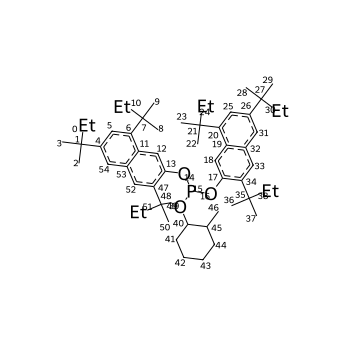 CCC(C)(C)c1cc(C(C)(C)CC)c2cc(OP(Oc3cc4c(C(C)(C)CC)cc(C(C)(C)CC)cc4cc3C(C)(C)CC)OC3CCCCC3C)c(C(C)(C)CC)cc2c1